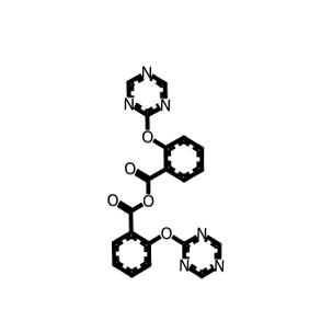 O=C(OC(=O)c1ccccc1Oc1ncncn1)c1ccccc1Oc1ncncn1